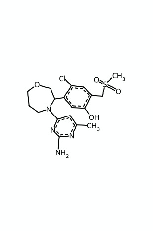 Cc1cc(N2CCCOCC2c2cc(O)c(CS(C)(=O)=O)cc2Cl)nc(N)n1